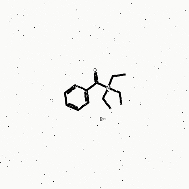 CC[N+](CC)(CC)C(=O)c1ccccc1.[Br-]